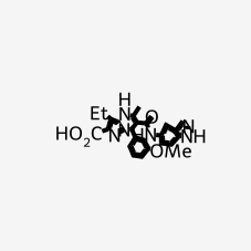 CCc1c(C(=O)O)nn2c1NC(C)=C(C(=O)Nc1ccc3[nH]ncc3c1)C2c1cccc(OC)c1